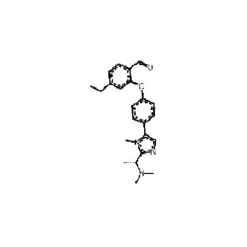 CCc1ccc(C=O)c(Oc2ccc(-c3cnc([C@@H](C)N(C)C)n3C)cc2)c1